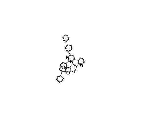 C=C(/C=C\c1oc2c(-c3ccccc3)cccc2c1C)c1ncccc1-c1cc(-c2ccc(-c3ccccc3)cc2)nc(-c2ccccc2)n1